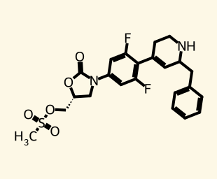 CS(=O)(=O)OC[C@H]1CN(c2cc(F)c(C3=CC(Cc4ccccc4)NCC3)c(F)c2)C(=O)O1